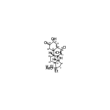 CC[C@@]1(OC(C)=O)CC[C@H]2[C@@H]3C=C(Cl)C4=CC(O)C(=O)C[C@]4(C)[C@H]3CC[C@@]21C